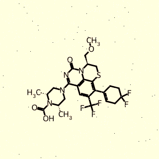 COC[C@H]1CSc2c(C3=CCC(F)(F)CC3)c(C(F)(F)F)cc3c(N4C[C@@H](C)N(C(=O)O)[C@@H](C)C4)nc(=O)n1c23